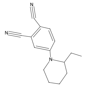 CCC1CCCCN1c1ccc(C#N)c(C#N)c1